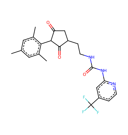 Cc1cc(C)c(C2C(=O)CC(CCNC(=O)Nc3cc(C(F)(F)F)ccn3)C2=O)c(C)c1